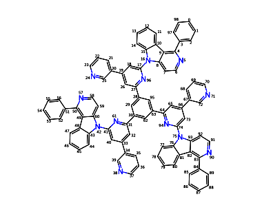 c1ccc(-c2nccc3c2c2ccccc2n3-c2cc(-c3cccnc3)cc(-c3cc(-c4cc(-c5cccnc5)cc(-n5c6ccccc6c6c(-c7ccccc7)nccc65)n4)cc(-c4cc(-c5cccnc5)cc(-n5c6ccccc6c6c(-c7ccccc7)nccc65)n4)c3)n2)cc1